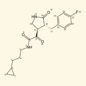 O=C(NCCCC1CC1)C(=O)[C@H]1CNC(=O)[C@@H]1Cc1ccc(F)cc1